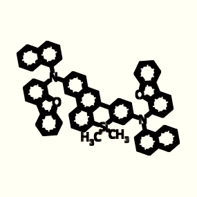 C[Si]1(C)c2cc(N(c3cccc4ccccc34)c3cccc4c3oc3ccccc34)ccc2-c2cc3ccc(N(c4cccc5ccccc45)c4cccc5c4oc4ccccc45)cc3c3cccc1c23